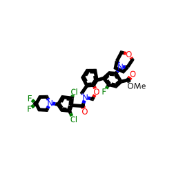 COC(=O)c1cc(F)c(-c2cccc3c2OCN(C(=O)c2c(Cl)cc(N4CCC(F)(F)CC4)cc2Cl)C3)cc1N1C2CCC1COC2